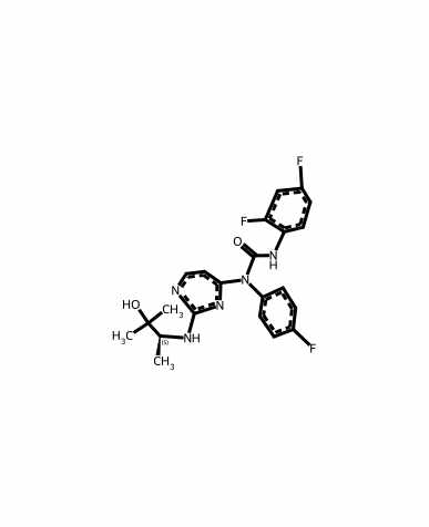 C[C@H](Nc1nccc(N(C(=O)Nc2ccc(F)cc2F)c2ccc(F)cc2)n1)C(C)(C)O